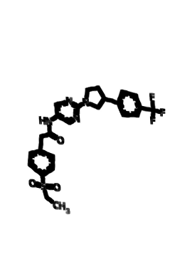 CCS(=O)(=O)c1ccc(CC(=O)Nc2cnc(N3CCC(c4ccc(C(F)(F)F)cc4)C3)nc2)cc1